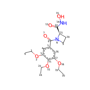 CCOc1cc(C(=O)N2CC[C@@H]2C(=O)NO)cc(OCC)c1OCC